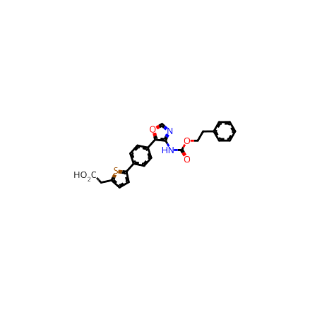 O=C(O)Cc1ccc(-c2ccc(-c3ocnc3NC(=O)OCCc3ccccc3)cc2)s1